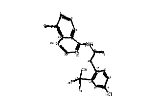 Cc1cccc2c(NC(C)Cc3ccc(Cl)cc3C(F)(F)F)ncnc12